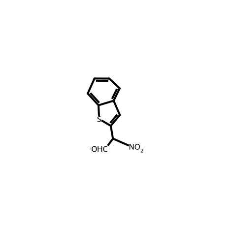 O=[C]C(c1cc2ccccc2s1)[N+](=O)[O-]